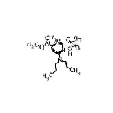 CCCN(CCC)c1cc(N(C)OC)ncn1.O=S(=O)(O)O